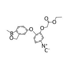 [C-]#[N+]c1ccc(Oc2ccc3c(c2)COB3C)c(OCC(=O)OCC)c1